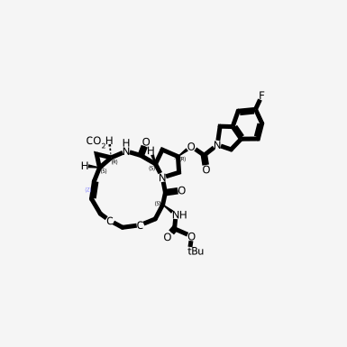 CC(C)(C)OC(=O)N[C@H]1CCCCC/C=C\[C@@H]2C[C@@]2(C(=O)O)NC(=O)[C@@H]2C[C@@H](OC(=O)N3Cc4ccc(F)cc4C3)CN2C1=O